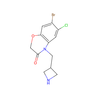 O=C1COc2cc(Br)c(Cl)cc2N1CC1CNC1